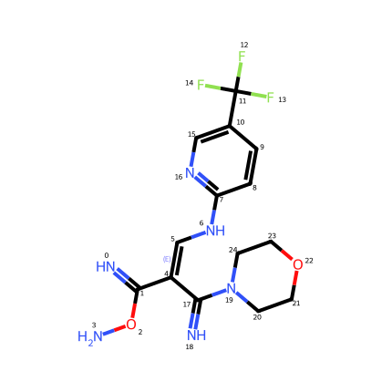 N=C(ON)/C(=C/Nc1ccc(C(F)(F)F)cn1)C(=N)N1CCOCC1